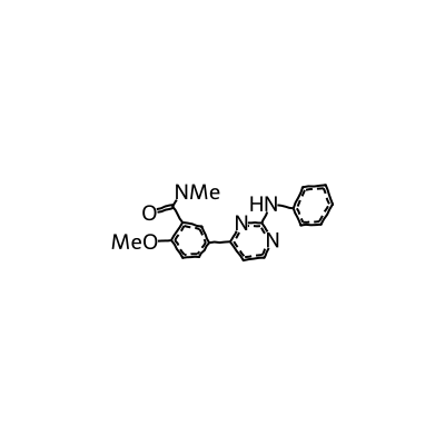 CNC(=O)c1cc(-c2ccnc(Nc3ccccc3)n2)ccc1OC